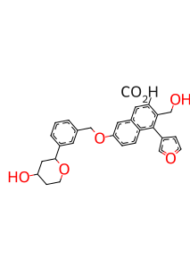 O=C(O)c1cc2cc(OCc3cccc(C4CC(O)CCO4)c3)ccc2c(-c2ccoc2)c1CO